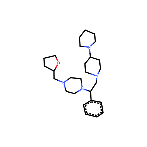 c1ccc(C(CN2CCC(N3CCCCC3)CC2)N2CCN(CC3CCCO3)CC2)cc1